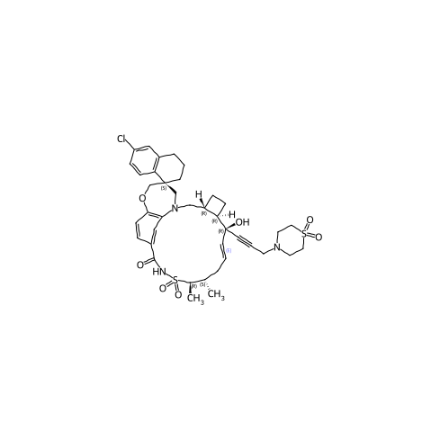 C[C@@H]1[C@@H](C)C/C=C/[C@@](O)(C#CCN2CCS(=O)(=O)CC2)[C@@H]2CC[C@H]2CN2C[C@@]3(CCCc4cc(Cl)ccc43)COc3ccc(cc32)C(=O)NS1(=O)=O